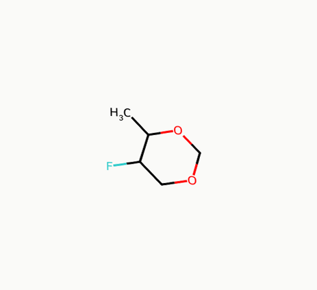 CC1OCOCC1F